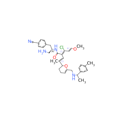 CO/C=C/C(Cl)=C(\C=C(/C)C1CCC=C(CNC(C)c2ccc(C)cc2)O1)C(=O)N[C@@H](CN)Cc1ccc(C#N)cc1